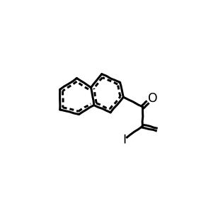 C=C(I)C(=O)c1ccc2ccccc2c1